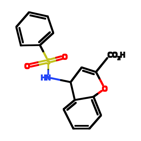 O=C(O)C1=CC(NS(=O)(=O)c2ccccc2)c2ccccc2O1